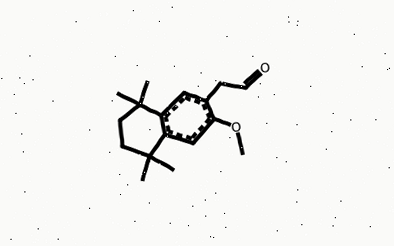 COc1cc2c(cc1CC=O)C(C)(C)CCC2(C)C